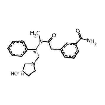 CN(C(=O)Cc1cccc(C(N)=O)c1)[C@H](CN1CC[C@H](O)C1)c1ccccc1